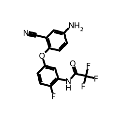 N#Cc1cc(N)ccc1Oc1ccc(F)c(NC(=O)C(F)(F)F)c1